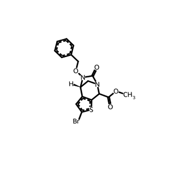 COC(=O)C1c2sc(Br)cc2[C@H]2CN1C(=O)N2OCc1ccccc1